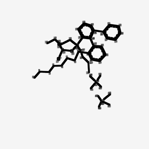 CCCCCCCCc1ccccc1-c1c(-c2ccccc2)cccc1[Si](CCCC)(CCCC)OB([O-])[O-].C[N+](C)(C)C.C[N+](C)(C)C